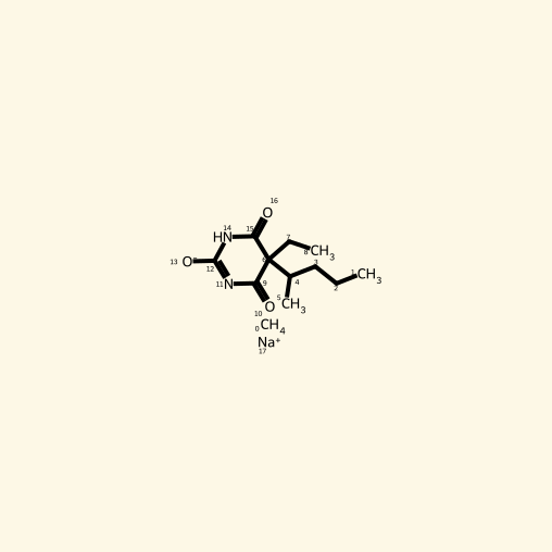 C.CCCC(C)C1(CC)C(=O)N=C([O-])NC1=O.[Na+]